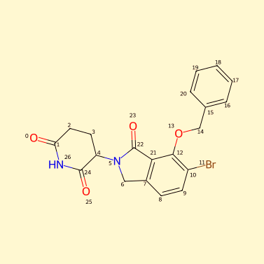 O=C1CCC(N2Cc3ccc(Br)c(OCc4ccccc4)c3C2=O)C(=O)N1